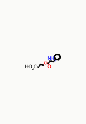 N[C@H](Cc1ccccc1)C(=O)OCCCC(=O)O